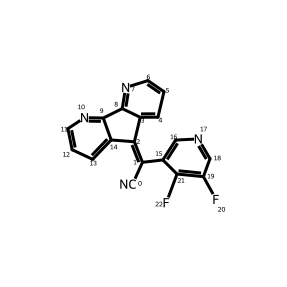 N#CC(=C1c2cccnc2-c2ncccc21)c1cncc(F)c1F